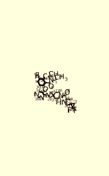 CCN(C(=O)c1cc(F)ccc1Oc1cncnc1N1CC2(CCN(C(=O)[C@@H]3C[C@]4(CN3)CC4(F)F)CC2)C1)C(C)C